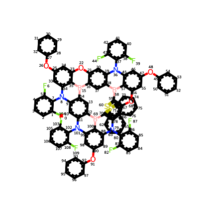 Fc1cccc(F)c1N1c2cc3c(cc2B2c4cc5c(cc4Oc4cc(Oc6ccccc6)cc1c42)N(c1c(F)cccc1F)c1cc(Oc2ccccc2)cc2c1B5c1sc4ccccc4c1O2)B1c2sc4ccccc4c2N(c2c(F)cccc2F)c2cc(Oc4ccccc4)cc(c21)N3c1c(F)cccc1F